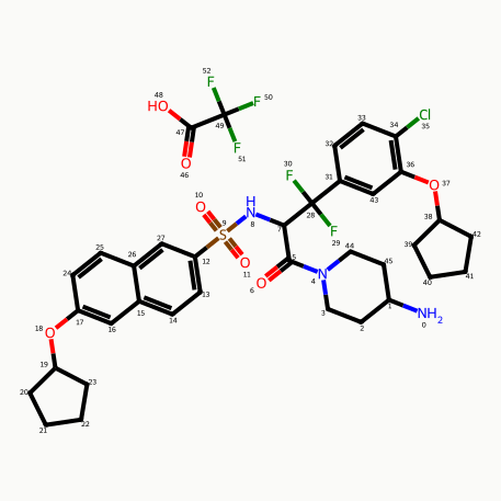 NC1CCN(C(=O)C(NS(=O)(=O)c2ccc3cc(OC4CCCC4)ccc3c2)C(F)(F)c2ccc(Cl)c(OC3CCCC3)c2)CC1.O=C(O)C(F)(F)F